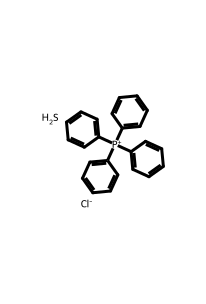 S.[Cl-].c1ccc([P+](c2ccccc2)(c2ccccc2)c2ccccc2)cc1